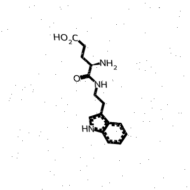 N[C@H](CCC(=O)O)C(=O)NCCc1c[nH]c2ccccc12